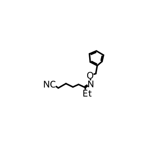 CCC(CCCCC#N)=NOCc1ccccc1